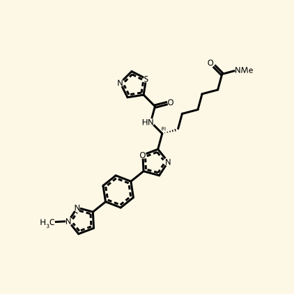 CNC(=O)CCCCC[C@@H](NC(=O)c1cncs1)c1ncc(-c2ccc(-c3ccn(C)n3)cc2)o1